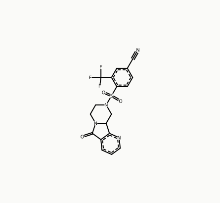 N#Cc1ccc(S(=O)(=O)N2CCN3C(=O)c4cccnc4C3C2)c(C(F)(F)F)c1